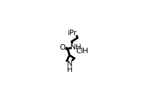 CC(C)CCNC(=O)C1CNC1.Cl